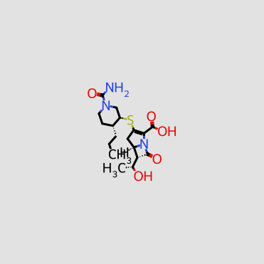 CCC[C@@H]1CCN(C(N)=O)C[C@H]1SC1=C(C(=O)O)N2C(=O)[C@H]([C@@H](C)O)[C@H]2C1